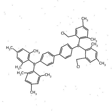 Cc1cc(C)c(B(c2ccc(-c3ccc(B(c4c(C)cc(C)cc4CCl)c4c(C)cc(C)cc4CCl)cc3)cc2)c2c(C)cc(C)cc2C)c(C)c1